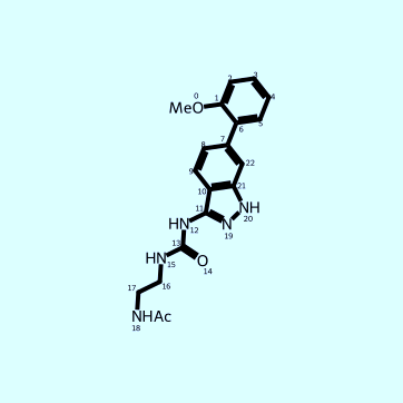 COc1ccccc1-c1ccc2c(NC(=O)NCCNC(C)=O)n[nH]c2c1